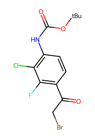 CC(C)(C)OC(=O)Nc1ccc(C(=O)CBr)c(F)c1Cl